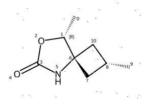 C[C@H]1OC(=O)N[C@]12C[C@@H](C)C2